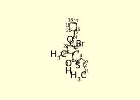 CCc1ccc(C(O)c2cc(Br)c(OCc3ccccc3)cc2C)s1